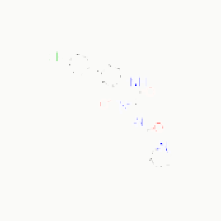 O=C1Nc2ccc(-c3ccc(Cl)cc3)cc2C(=O)N2CCN(C(=O)Cc3ccccn3)CC12